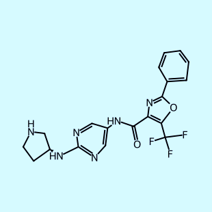 O=C(Nc1cnc(N[C@H]2CCNC2)nc1)c1nc(-c2ccccc2)oc1C(F)(F)F